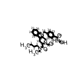 CCCCN(CC)C(=O)C1Cc2c(n(Cc3ccc(C(=O)NO)cc3)c3ccccc23)CN1C=O